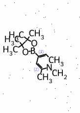 C=N/C(C)=C\C(=C/C)B1OC(C)(C)C(C)(C)O1